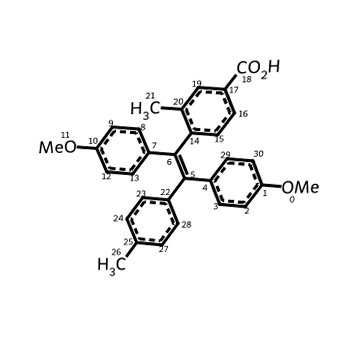 COc1ccc(/C(=C(/c2ccc(OC)cc2)c2ccc(C(=O)O)cc2C)c2ccc(C)cc2)cc1